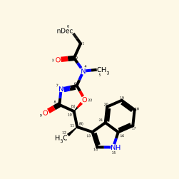 CCCCCCCCCCCC(=O)N(C)C1=NC(=O)[C@H]([C@H](C)c2c[nH]c3ccccc23)O1